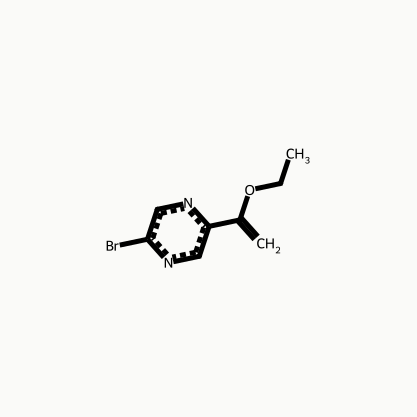 C=C(OCC)c1cnc(Br)cn1